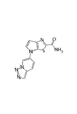 NC(=O)c1nc2ccn(-c3ccc4cnnn4c3)c2s1